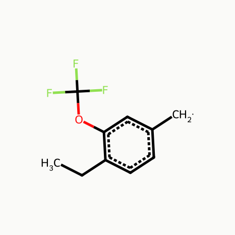 [CH2]c1ccc(CC)c(OC(F)(F)F)c1